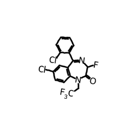 O=C1C(F)N=C(c2ccccc2Cl)c2cc(Cl)ccc2N1CC(F)(F)F